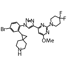 COc1cc(-c2cn(-c3ccc(Br)cc3C3CC34CCNCC4)nn2)nc(N2CCC(F)(F)CC2)n1